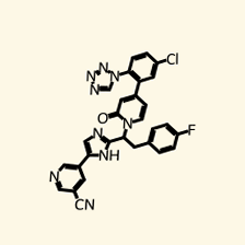 N#Cc1cncc(-c2cnc(C(Cc3ccc(F)cc3)n3ccc(-c4cc(Cl)ccc4-n4cnnn4)cc3=O)[nH]2)c1